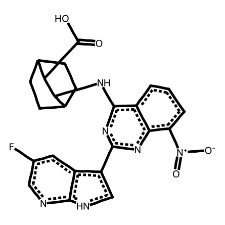 O=C(O)C1C2CCC(CC2)C1Nc1nc(-c2c[nH]c3ncc(F)cc23)nc2c([N+](=O)[O-])cccc12